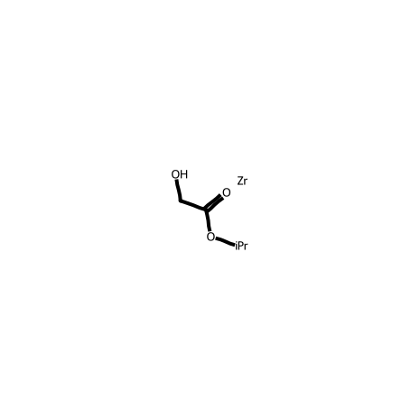 CC(C)OC(=O)CO.[Zr]